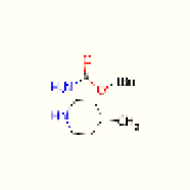 CC(C)(C)OC(N)=O.CC1CCNCC1